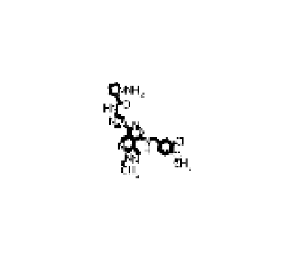 CCn1ncc2c3c(NCc4ccc(OC)c(Cl)c4)nnc(-n4cnc(NC(=O)C5CCCN5N)c4)c3cnc21